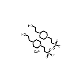 O=S(=O)([O-])CCN1CCN(CCO)CC1.O=S(=O)([O-])CCN1CCN(CCO)CC1.[Ca+2]